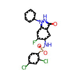 O=c1[nH]n(-c2ccccc2)c2cc(F)c(NS(=O)(=O)c3ccc(Cl)cc3Cl)cc12